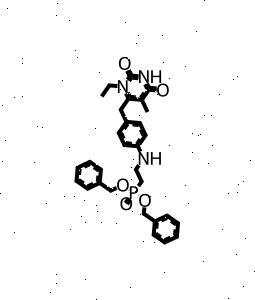 CCn1c(Cc2ccc(NCCP(=O)(OCc3ccccc3)OCc3ccccc3)cc2)c(C)c(=O)[nH]c1=O